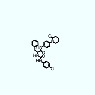 O=C(Nc1ccc(Cl)cc1)NC(Cc1ccccc1)C(=O)Nc1ccc(N2CCCCC2=O)cc1